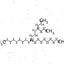 CCCCCCCCCN(CCCCCCCCC)CCCC(CCC)CCC